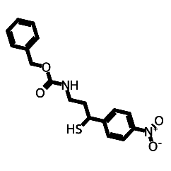 O=C(NCCC(S)c1ccc([N+](=O)[O-])cc1)OCc1ccccc1